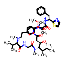 CC[C@H](C)[C@@H]([C@@H](CC(=O)N1CCC[C@H]1[C@H](OC)[C@@H](C)C(=O)N[C@@H](Cc1ccccc1)c1nccs1)OC)N(C)C(=O)CNC(=O)C(C(C)C)N(C)CCc1ccc(N(C)C=O)cc1